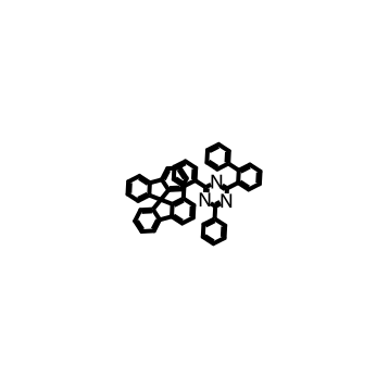 c1ccc(-c2nc(-c3ccccc3-c3ccccc3)nc(-c3ccccc3-c3cccc4c3C3(c5ccccc5-c5ccccc53)c3ccccc3-4)n2)cc1